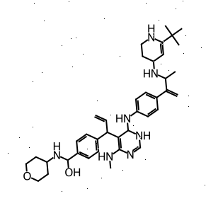 C=CC(C1=C(NC)N=CNC1Nc1ccc(C(=C)C(C)NC2C=C(C(C)(C)C)NCC2)cc1)c1ccc(C(O)NC2CCOCC2)cc1